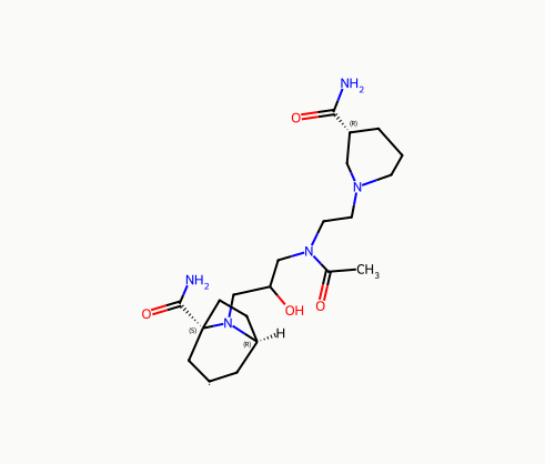 CC(=O)N(CCN1CCC[C@@H](C(N)=O)C1)CC(O)CN1[C@@H]2C[CH]C[C@@]1(C(N)=O)CC2